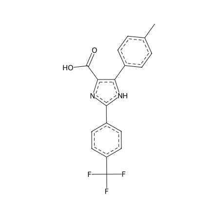 Cc1ccc(-c2[nH]c(-c3ccc(C(F)(F)F)cc3)nc2C(=O)O)cc1